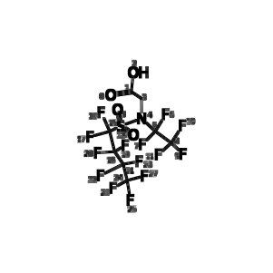 O=C(O)CN(C(F)(F)C(F)(F)F)S(=O)(=O)C(F)(F)C(F)(F)C(F)(F)C(F)(F)F